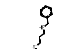 OCCCPCc1ccccc1